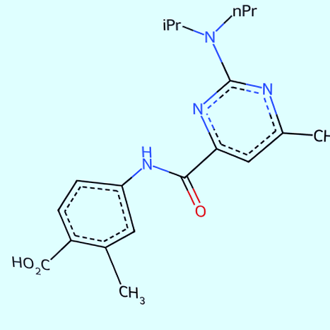 CCCN(c1nc(C)cc(C(=O)Nc2ccc(C(=O)O)c(C)c2)n1)C(C)C